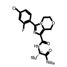 CNC(=O)[C@@H](NC(=O)c1nc(-c2ccc(Cl)cc2F)n2c1COCC2)C(C)(C)C